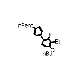 CCCCCc1ccc(-c2ccc(OCCCC)c(CC)c2F)cc1